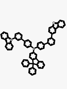 c1ccc(C2(c3ccccc3)c3ccccc3-c3cc(N(c4ccc(-c5cccc(-c6ccc7oc8ccccc8c7c6)c5)cc4)c4ccc(-c5cccc(-n6c7ccccc7c7ccccc76)c5)cc4)ccc32)cc1